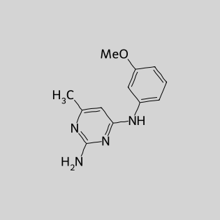 COc1cccc(Nc2cc(C)nc(N)n2)c1